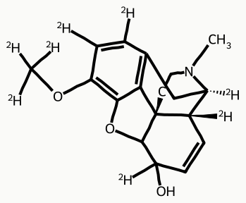 [2H]c1c([2H])c(OC([2H])([2H])[2H])c2c3c1C[C@@]1([2H])N(C)CC[C@@]34C(O2)C([2H])(O)C=C[C@]41[2H]